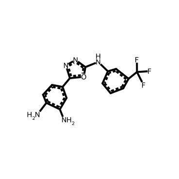 Nc1ccc(-c2nnc(Nc3cccc(C(F)(F)F)c3)o2)cc1N